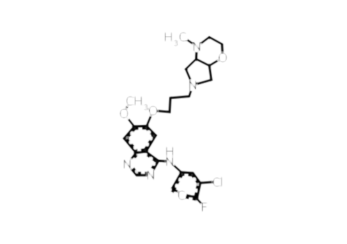 COc1cc2ncnc(Nc3ccc(F)c(Cl)c3)c2cc1OCCCN1CC2OCCN(C)C2C1